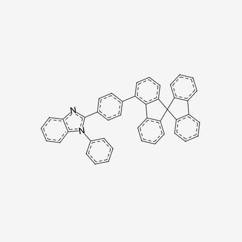 c1ccc(-n2c(-c3ccc(-c4cccc5c4-c4ccccc4C54c5ccccc5-c5ccccc54)cc3)nc3ccccc32)cc1